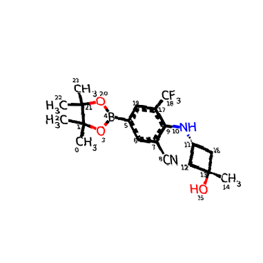 CC1(C)OB(c2cc(C#N)c(N[C@H]3C[C@@](C)(O)C3)c(C(F)(F)F)c2)OC1(C)C